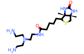 C[C@@]12CSC(CCCCC(=O)NCCN(CCN)CCN)[C@]1(C)NC(=O)N2